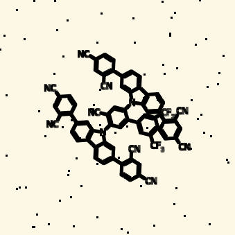 N#Cc1ccc(-c2ccc3c4ccc(-c5ccc(C#N)cc5C#N)cc4n(-c4cc(-c5cc(C(F)(F)F)cc(C(F)(F)F)c5)c(-n5c6cc(-c7ccc(C#N)cc7C#N)ccc6c6ccc(-c7ccc(C#N)cc7C#N)cc65)cc4C#N)c3c2)c(C#N)c1